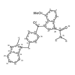 COc1cccc2c1c(C(=O)c1ccc(Cn3c(C)nc4cnccc43)cc1)cn2C(=O)N(C)C